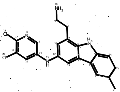 CC1C=c2c([nH]c3c(CCN)cc(Nc4cnc(Cl)c(Cl)c4)cc23)=CC1